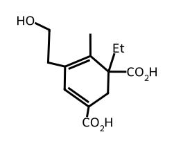 CCC1(C(=O)O)CC(C(=O)O)=CC(CCO)=C1C